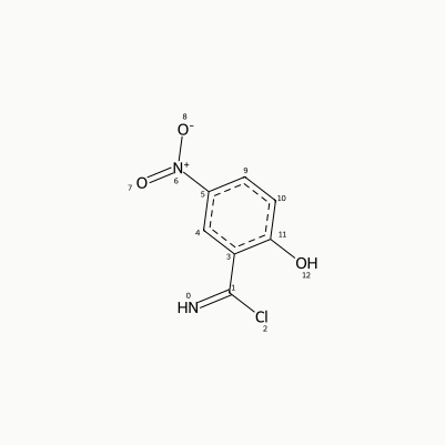 N=C(Cl)c1cc([N+](=O)[O-])ccc1O